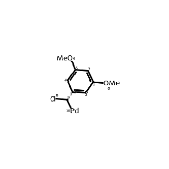 COc1[c]ccc(OC)c1.Cl[CH2][Pd]